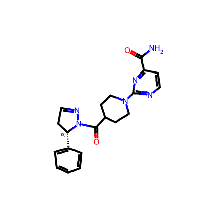 NC(=O)c1ccnc(N2CCC(C(=O)N3N=CC[C@H]3c3ccccc3)CC2)n1